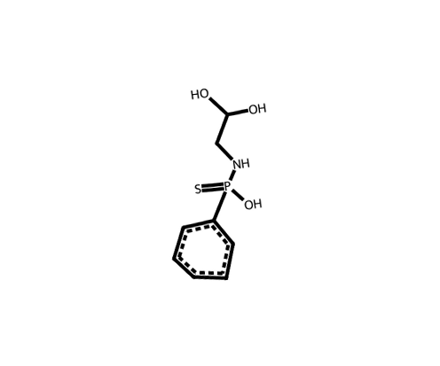 OC(O)CNP(O)(=S)c1ccccc1